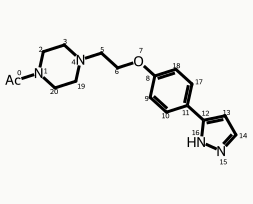 CC(=O)N1CCN(CCOc2ccc(-c3ccn[nH]3)cc2)CC1